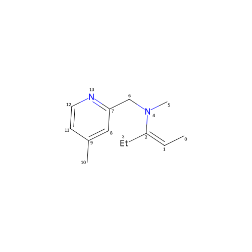 C/C=C(/CC)N(C)Cc1cc(C)ccn1